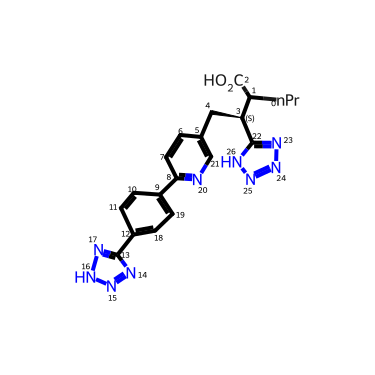 CCCC(C(=O)O)[C@H](Cc1ccc(-c2ccc(-c3nn[nH]n3)cc2)nc1)c1nnn[nH]1